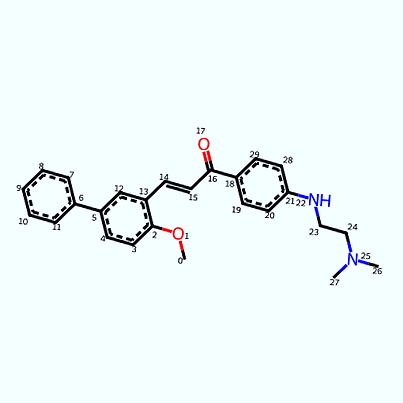 COc1ccc(-c2ccccc2)cc1C=CC(=O)c1ccc(NCCN(C)C)cc1